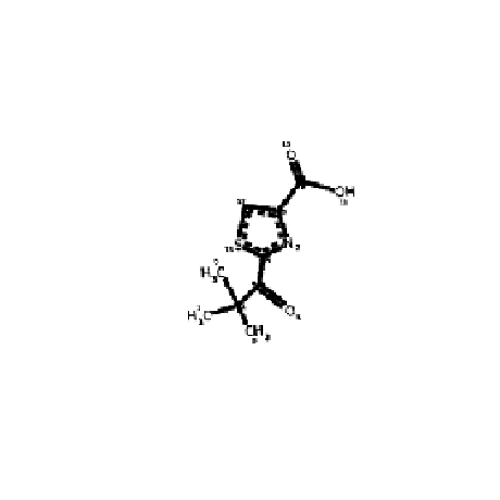 CC(C)(C)C(=O)c1nc(C(=O)O)cs1